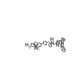 CC(=O)N1c2ccc(-c3ccc(CC(=O)NCc4cn5cc(Br)nc(N6CCOCC6)c5n4)cc3)cc2CC[C@@H]1C